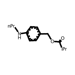 CCCNc1ccc(COC(=O)C(C)C)cc1